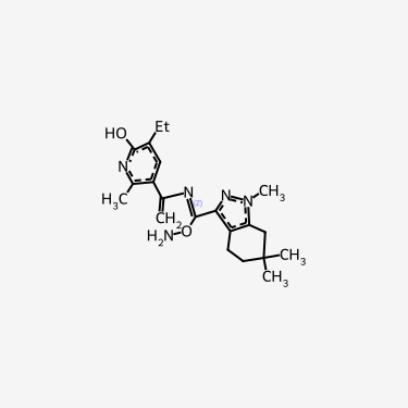 C=C(/N=C(\ON)c1nn(C)c2c1CCC(C)(C)C2)c1cc(CC)c(O)nc1C